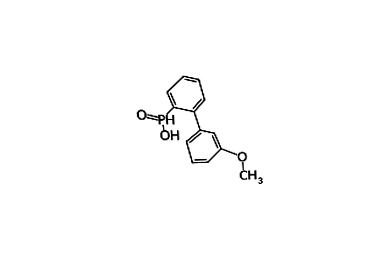 COc1cccc(-c2ccccc2[PH](=O)O)c1